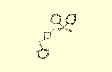 CC(C)(C)[Si](OC[C@H]1C[C@@H](Sc2ncccn2)C1)(c1ccccc1)c1ccccc1